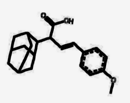 COc1ccc(C=CC(C(=O)O)C2C3CC4CC(C3)CC2C4)cc1